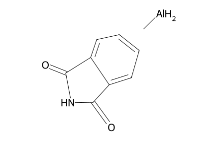 O=C1NC(=O)c2ccccc21.[CH3][AlH2]